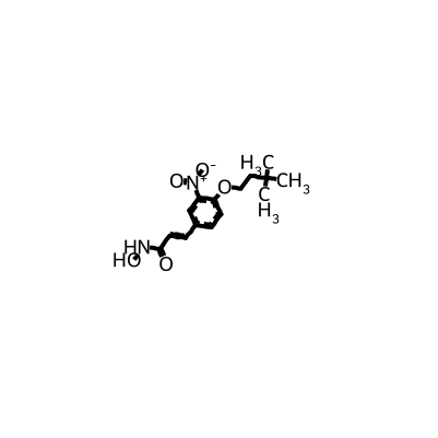 CC(C)(C)CCOc1ccc(C=CC(=O)NO)cc1[N+](=O)[O-]